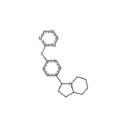 c1cnc(Sc2ccc(C3CCC4CCCCN43)cc2)nc1